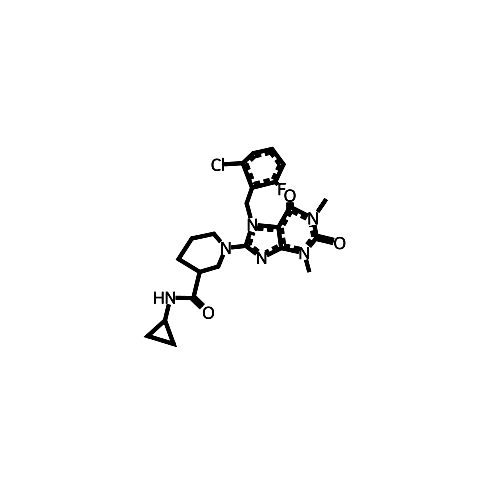 Cn1c(=O)c2c(nc(N3CCCC(C(=O)NC4CC4)C3)n2Cc2c(F)cccc2Cl)n(C)c1=O